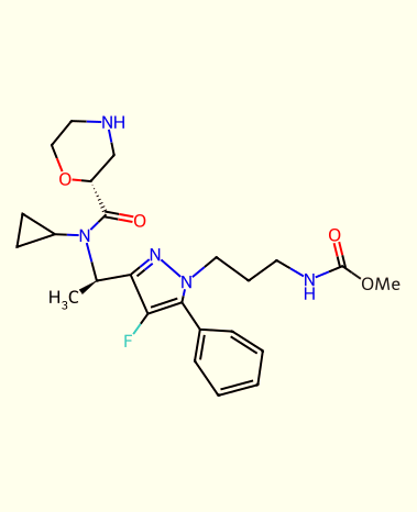 COC(=O)NCCCn1nc([C@@H](C)N(C(=O)[C@H]2CNCCO2)C2CC2)c(F)c1-c1ccccc1